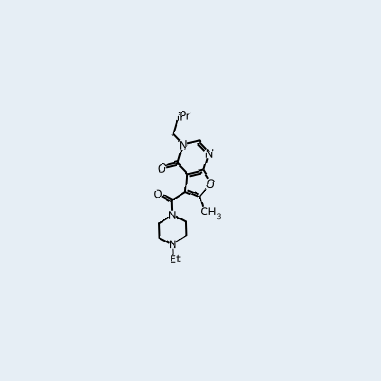 CCN1CCN(C(=O)c2c(C)oc3ncn(CC(C)C)c(=O)c23)CC1